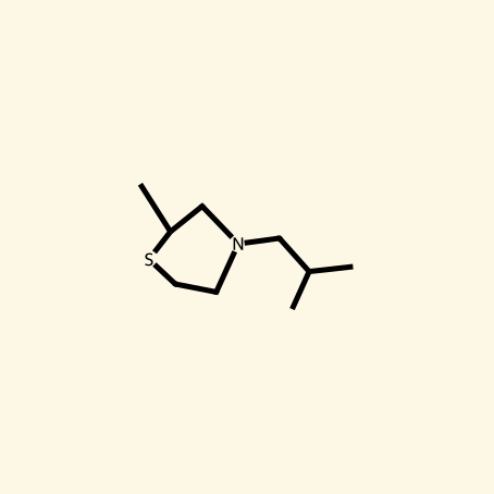 CC(C)CN1CCSC(C)C1